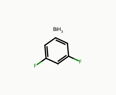 Fc1[c]c(F)ccc1.[BiH3]